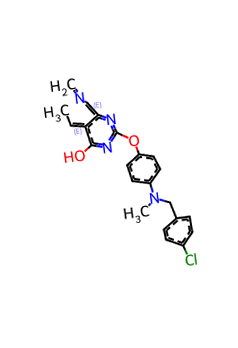 C=N/C=c1/nc(Oc2ccc(N(C)Cc3ccc(Cl)cc3)cc2)nc(O)/c1=C/C